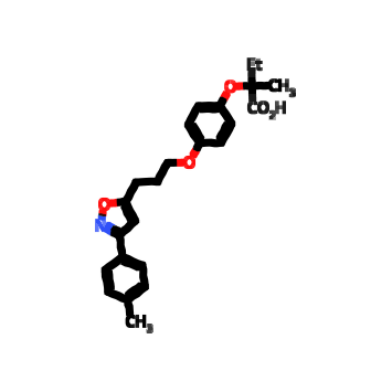 CCC(C)(Oc1ccc(OCCCc2cc(-c3ccc(C)cc3)no2)cc1)C(=O)O